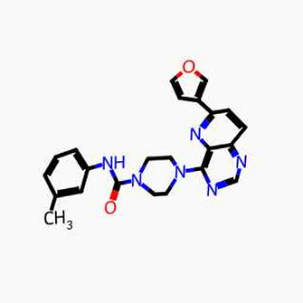 Cc1cccc(NC(=O)N2CCN(c3ncnc4ccc(-c5ccoc5)nc34)CC2)c1